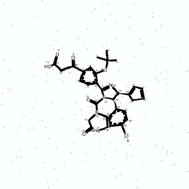 CC(C)(C)Oc1cc(C(=O)CC(=O)O)ccc1C1=N[C@@H](C2=CC=CC2)[C@@H](c2ccc(Cl)cc2)N1C(=O)N1CCNC(=O)C1